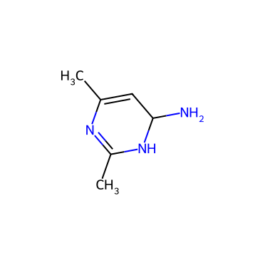 CC1=CC(N)NC(C)=N1